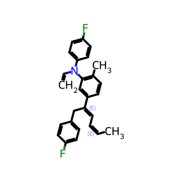 C=CN(c1ccc(F)cc1)c1cc(/C(=C/C=C\C)Cc2ccc(F)cc2)ccc1C